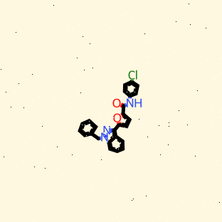 O=C(Nc1ccc(Cl)cc1)c1ccc(-c2nn(Cc3ccccc3)c3ccccc23)o1